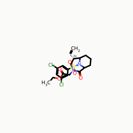 C=C[C@H]1CN(CC(=O)OCC)C(=O)C2CCCC1N2S(=O)(=O)c1cc(Cl)cc(Cl)c1